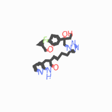 CCC(O)(Cn1nncc1CCCCC1Cc2cccnc2NC1=O)c1ccc(F)c(OCC2CC2)c1